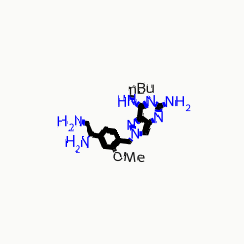 CCCCNc1nc(N)nc2cn(Cc3ccc([C@H](N)CN)cc3OC)nc12